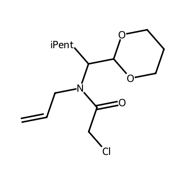 C=CCN(C(=O)CCl)C(C(C)CCC)C1OCCCO1